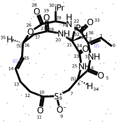 C/C=C1\NC(=O)[C@H]2C[S+]([O-])C(=O)CC/C=C/[C@H](CC(=O)N[C@H](C(C)C)C(=O)N2)OC(=O)C(C(C)C)NC1=O